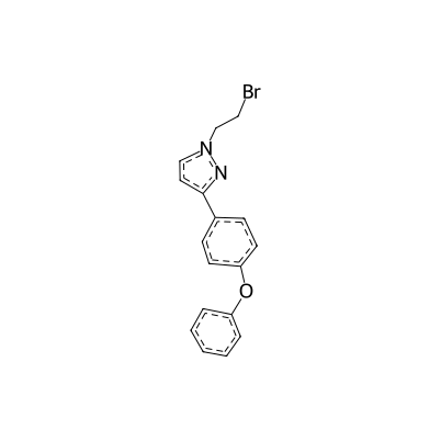 BrCCn1ccc(-c2ccc(Oc3ccccc3)cc2)n1